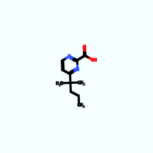 CCCC(C)(C)c1ccnc(C(=O)O)n1